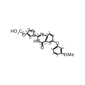 COc1cccc(Oc2ccc3nc(-n4cc(OC(=O)O)cn4)[nH]c(=O)c3c2)c1